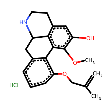 C=C(C)COc1cccc2c1-c1c(OC)c(O)cc3c1C(C2)NCC3.Cl